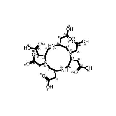 O=C(O)C[C@H]1CN(CC(=O)O)[C@@H](CC(=O)O)CN[C@@H](CC(=O)O)CN(CC(=O)O)[C@@H](CC(=O)O)CN1